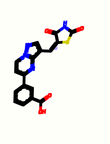 O=C1NC(=O)/C(=C\c2cnn3ccc(-c4cccc(C(=O)O)c4)nc23)S1